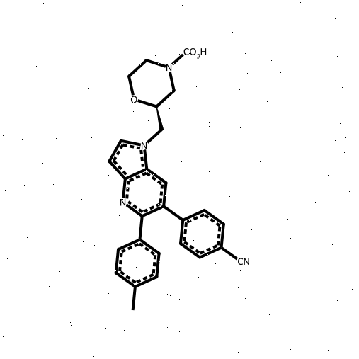 Cc1ccc(-c2nc3ccn(C[C@@H]4CN(C(=O)O)CCO4)c3cc2-c2ccc(C#N)cc2)cc1